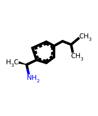 CC(C)Cc1ccc([C@H](C)N)cc1